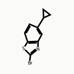 Brc1nc2cc(C3CC3)ccc2s1